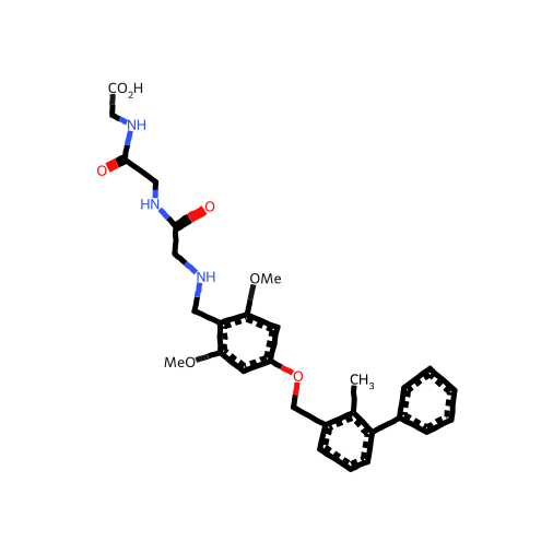 COc1cc(OCc2cccc(-c3ccccc3)c2C)cc(OC)c1CNCC(=O)NCC(=O)NCC(=O)O